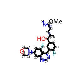 C=N/C(=C\C=C(/C)C(O)c1ccc(F)c(-c2ncnc3cc(N4CCOCC4)cc(F)c23)c1)OC